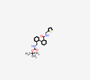 CC(C)(C)OC(=O)NCc1ccccc1-c1ccccc1C(=O)NCc1cccs1